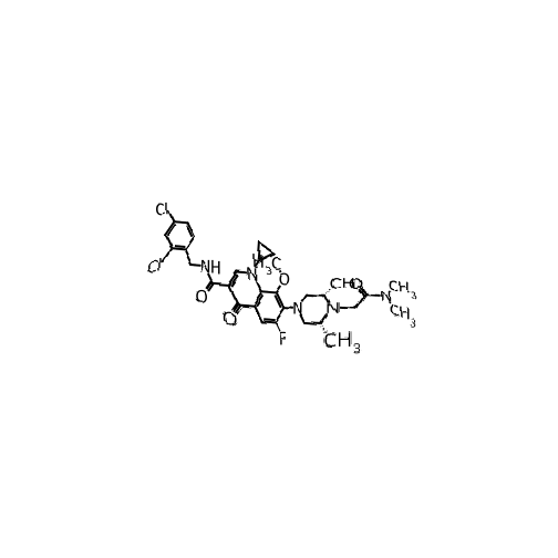 COc1c(N2C[C@@H](C)N(CC(=O)N(C)C)[C@@H](C)C2)c(F)cc2c(=O)c(C(=O)NCc3ccc(Cl)cc3Cl)cn(C3CC3)c12